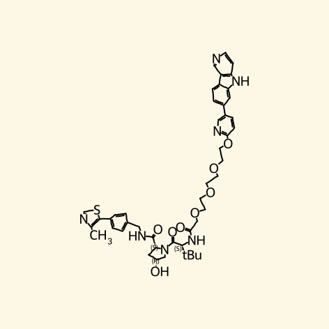 Cc1ncsc1-c1ccc(CNC(=O)[C@@H]2C[C@@H](O)CN2C(=O)[C@@H](NC(=O)COCCOCCOCCOc2ccc(-c3ccc4c(c3)[nH]c3ccncc34)cn2)C(C)(C)C)cc1